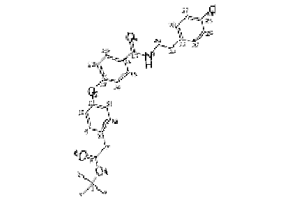 CC(C)(C)OC(=O)Cc1ccc(Oc2ccc(C(=O)NCCc3ccc(Cl)cc3)cc2)cc1